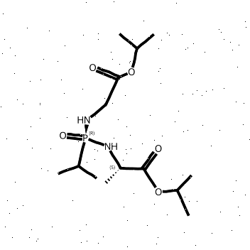 CC(C)OC(=O)CN[P@@](=O)(N[C@@H](C)C(=O)OC(C)C)C(C)C